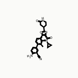 Cc1c(-c2ccc(N)c(C#N)c2)ccc2c3oc(C4CCNC(=O)C4)nc3c(=O)n(C3CC3)c12